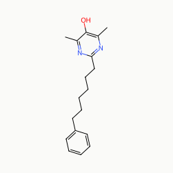 Cc1nc(CCCCCCc2ccccc2)nc(C)c1O